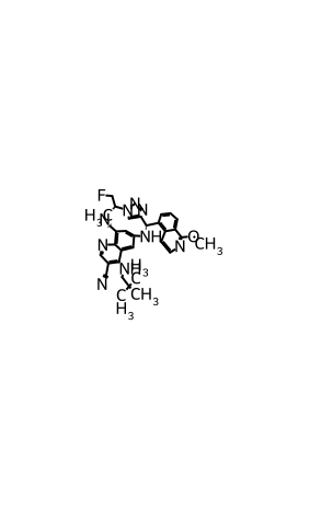 COc1nccc2c([C@H](Nc3cc(C#N)c4ncc(C#N)c(NCC(C)(C)C)c4c3)c3cn([C@@H](C)CF)nn3)cccc12